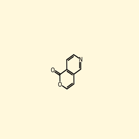 O=c1occc2cnccc12